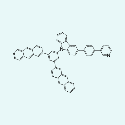 c1cncc(-c2ccc(-c3ccc4c(c3)c3ccccc3n4-c3cc(-c4ccc5cc6ccccc6cc5c4)cc(-c4ccc5cc6ccccc6cc5c4)c3)cc2)c1